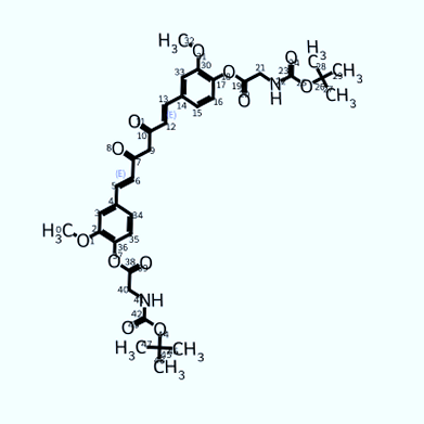 COc1cc(/C=C/C(=O)CC(=O)/C=C/c2ccc(OC(=O)CNC(=O)OC(C)(C)C)c(OC)c2)ccc1OC(=O)CNC(=O)OC(C)(C)C